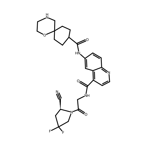 N#C[C@@H]1CC(F)(F)CN1C(=O)CNC(=O)c1ccnc2ccc(NC(=O)C3CCC4(CC3)CNCCO4)cc12